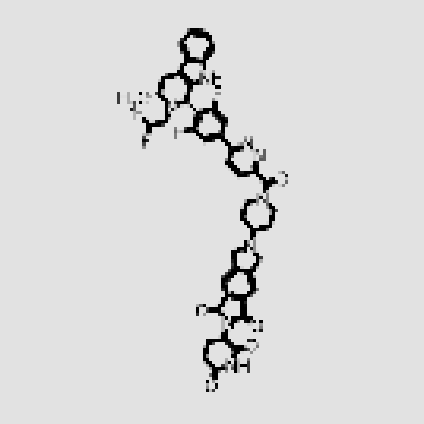 C[C@@H]1Cc2c([nH]c3ccccc23)[C@@H](c2c(F)cc(-c3ccc(C(=O)N4CCC(N5Cc6cc7c(cc6C5)C(=O)N(C5CCC(=O)NC5=O)C7=O)CC4)nn3)cc2F)N1CC(F)F